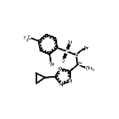 CC(C)N([C@@H](C)c1nnc(C2CC2)o1)S(=O)(=O)c1ccc(C(F)(F)F)cc1Br